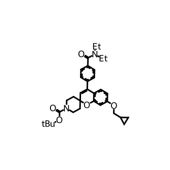 CCN(CC)C(=O)c1ccc(C2=CC3(CCN(C(=O)OC(C)(C)C)CC3)Oc3cc(OCC4CC4)ccc32)cc1